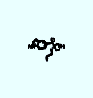 CCCC[C@@]1(C(=O)c2ccc3[nH]ccc3c2)CCNC1